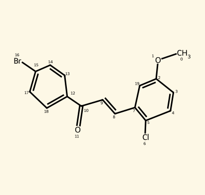 COc1ccc(Cl)c(C=CC(=O)c2ccc(Br)cc2)c1